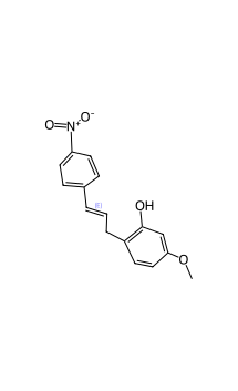 COc1ccc(C/C=C/c2ccc([N+](=O)[O-])cc2)c(O)c1